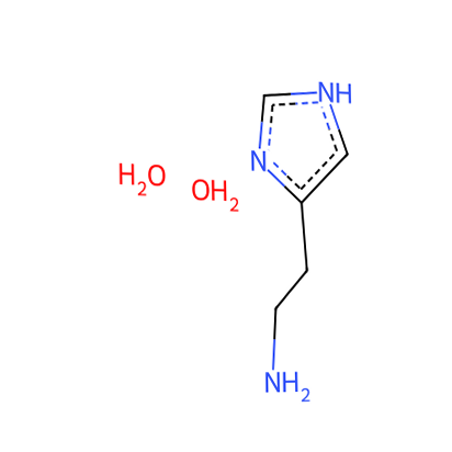 NCCc1c[nH]cn1.O.O